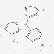 C.I.c1ccc(P(c2ccccc2)c2ccccc2)cc1